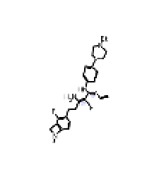 C=C/N=C(Nc1ccc(N2CCN(CC)CC2)cc1)\C(F)=C(/N)CCc1ccc2c(c1F)CN2C